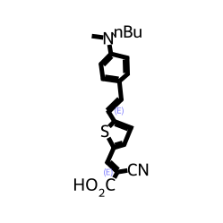 CCCCN(C)c1ccc(/C=C/c2ccc(/C=C(\C#N)C(=O)O)s2)cc1